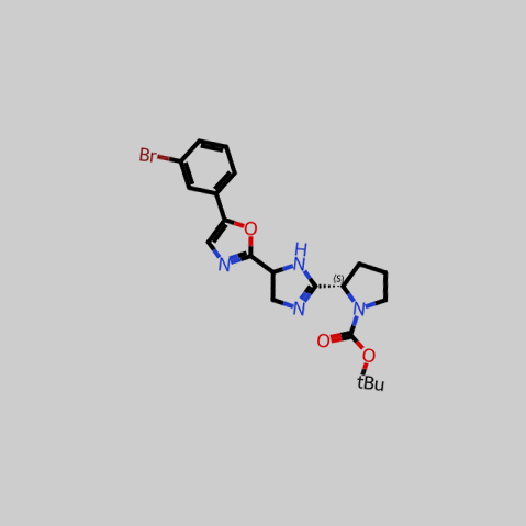 CC(C)(C)OC(=O)N1CCC[C@H]1C1=NCC(c2ncc(-c3cccc(Br)c3)o2)N1